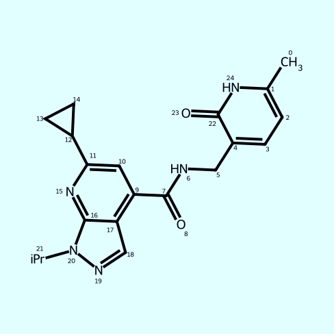 Cc1ccc(CNC(=O)c2cc(C3CC3)nc3c2cnn3C(C)C)c(=O)[nH]1